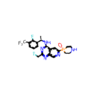 C[C@@H](Nc1nc(CF)nc2cnc(P3(=O)CCNCC3)cc12)c1cccc(C(F)(F)F)c1F